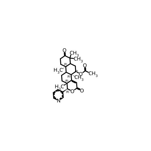 CC(=O)O[C@@H]1CC2C(C)(C)C(=O)CC[C@]2(C)C2CC[C@]3(C)C(=CC(=O)O[C@H]3c3cccnc3)[C@@]21C